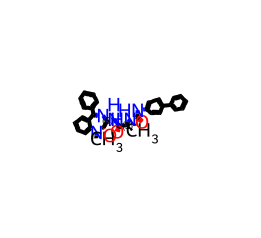 C[C@H](NC(=O)Nc1ccc(-c2ccccc2)cc1)C(=O)N[C@H]1N=C(c2ccccc2)c2ccccc2N(C)C1=O